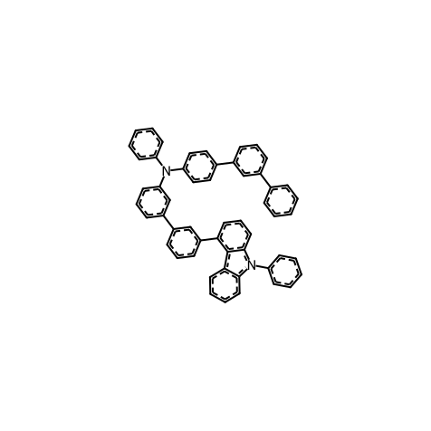 c1ccc(-c2cccc(-c3ccc(N(c4ccccc4)c4cccc(-c5cccc(-c6cccc7c6c6ccccc6n7-c6ccccc6)c5)c4)cc3)c2)cc1